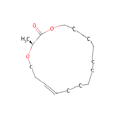 C[C@@H]1OCC/C=C\CCCCCCCCCOC1=O